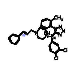 Cc1cccc(C)c1-n1nnnc1[C@@H](c1ccc(Cl)c(Cl)c1)N1CCN(C/C=C/c2ccccc2)CC1